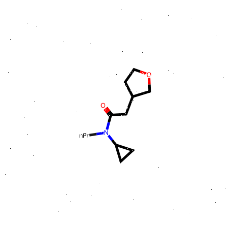 CCCN(C(=O)CC1CCOC1)C1CC1